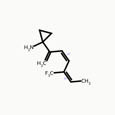 C=C(/C=C\C(=C/C)C(F)(F)F)C1(N)CC1